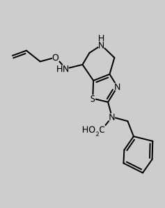 C=CCONC1CNCc2nc(N(Cc3ccccc3)C(=O)O)sc21